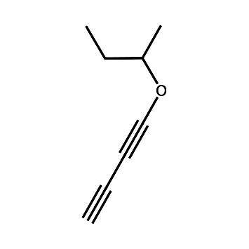 C#CC#COC(C)CC